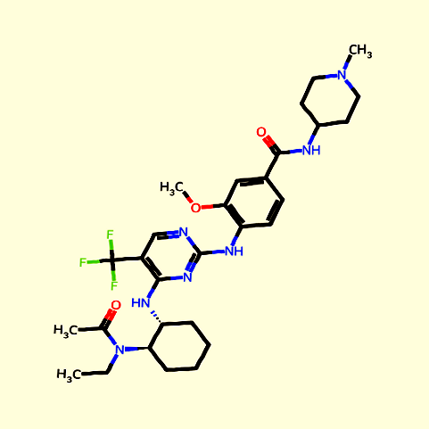 CCN(C(C)=O)[C@@H]1CCCC[C@H]1Nc1nc(Nc2ccc(C(=O)NC3CCN(C)CC3)cc2OC)ncc1C(F)(F)F